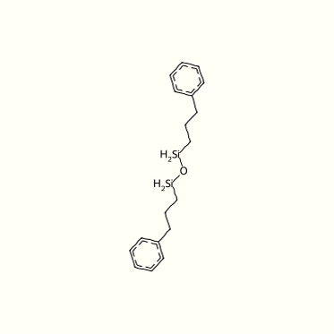 c1ccc(CCC[SiH2]O[SiH2]CCCc2ccccc2)cc1